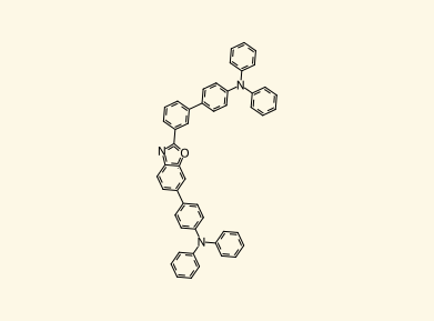 c1ccc(N(c2ccccc2)c2ccc(-c3cccc(-c4nc5ccc(-c6ccc(N(c7ccccc7)c7ccccc7)cc6)cc5o4)c3)cc2)cc1